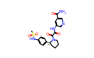 CS(=O)(=O)Nc1ccc([C@@H]2CCCCN2C(=O)C(=O)Nc2cncc(C(N)=O)c2)cc1